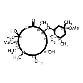 CO[C@@H]1[C@@H](C)N(C)C[C@H](C)C[C@@H](O)C[C@@H](C)[C@H](O[C@H]2C[C@@](C)(OC)C[C@H](C)O2)[C@@H](C)C(=O)OC[C@@]1(C)O